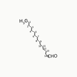 C/C=C/C=C/C=C/C=C/C=C/C=C/C=C/C=O